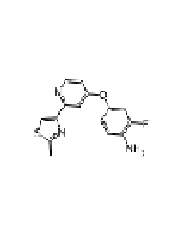 Cc1nc(-c2cc(Oc3ccc(N)c(F)c3)ccn2)cs1